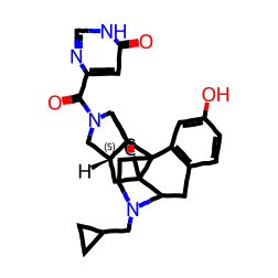 O=C(c1cc(=O)[nH]cn1)N1C[C@H]2CC34CCC1C2C31CCN(CC2CC2)C4Cc2ccc(O)cc21